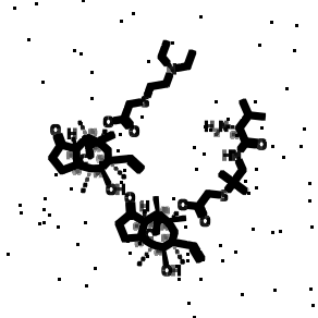 C=C[C@]1(C)C[C@@H](OC(=O)CSC(C)(C)CNC(=O)[C@H](N)C(C)C)[C@]2(C)[C@H](C)CC[C@]3(CCC(=O)[C@H]32)[C@@H](C)[C@@H]1O.C=C[C@]1(C)C[C@@H](OC(=O)CSCCN(CC)CC)[C@@]2(C)C(C)CC[C@]3(CCC(=O)[C@H]32)[C@@H](C)[C@@H]1O